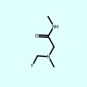 CNC(=O)CN(C)CF